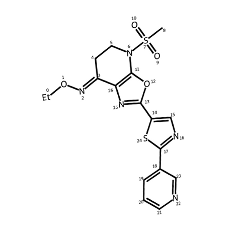 CCO/N=C1\CCN(S(C)(=O)=O)c2oc(-c3cnc(-c4cccnc4)s3)nc21